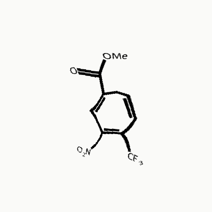 COC(=O)c1ccc(C(F)(F)F)c([N+](=O)[O-])c1